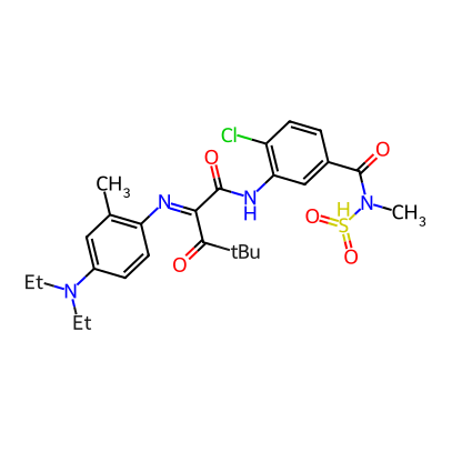 CCN(CC)c1ccc(N=C(C(=O)Nc2cc(C(=O)N(C)[SH](=O)=O)ccc2Cl)C(=O)C(C)(C)C)c(C)c1